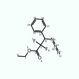 CCOC(=O)C(F)(F)C(N=[N+]=[N-])c1ccccc1